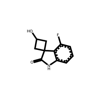 O=C1Nc2cccc(F)c2C12CC(O)C2